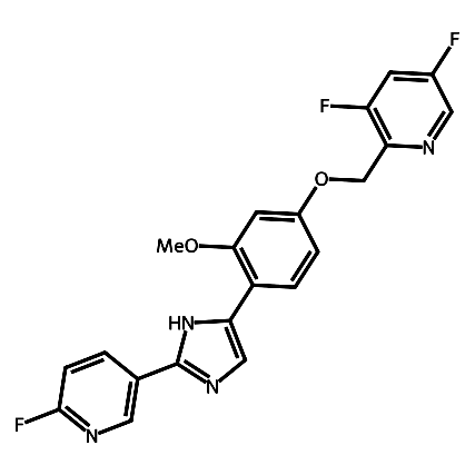 COc1cc(OCc2ncc(F)cc2F)ccc1-c1cnc(-c2ccc(F)nc2)[nH]1